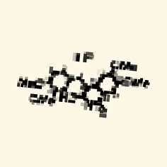 COc1ccc(Cc2c(O)nc(C)c3cc(OC)c(OC)cc23)cc1OC.Cl